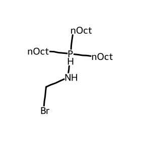 CCCCCCCC[PH](CCCCCCCC)(CCCCCCCC)NCBr